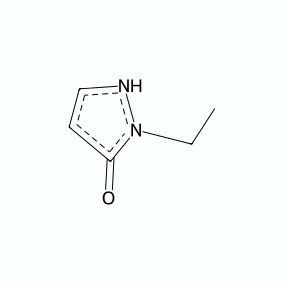 CCn1[nH]ccc1=O